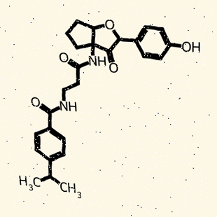 CC(C)c1ccc(C(=O)NCCC(=O)NC23CCCC2OC(c2ccc(O)cc2)C3=O)cc1